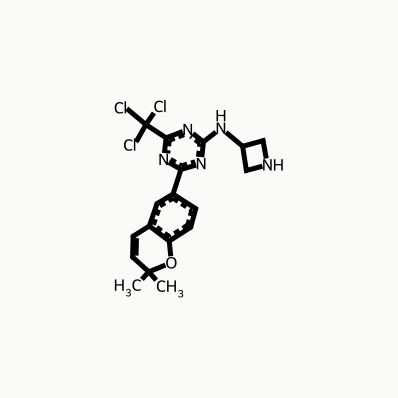 CC1(C)C=Cc2cc(-c3nc(NC4CNC4)nc(C(Cl)(Cl)Cl)n3)ccc2O1